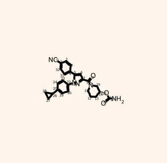 N#Cc1ccc(-c2cc(C(=O)N3CCC[C@@H](OC(N)=O)C3)nn2-c2ccc(C3CC3)cc2)cc1